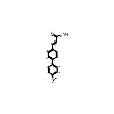 [C-]#[N+]c1ccc(-c2ccc(/C=C/C(=O)OC)cc2)cc1